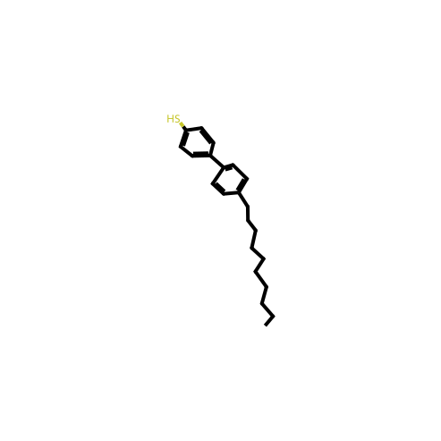 CCCCCCCCCCc1ccc(-c2ccc(S)cc2)cc1